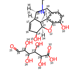 CN1CC[C@]23c4c5ccc(O)c4O[C@H]2[C@@H](O)C=C[C@H]3[C@H]1C5.O=CC(O)C(O)C(O)C(O)C(=O)O